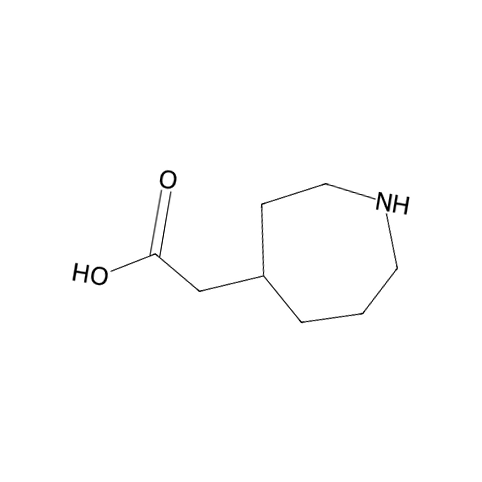 O=C(O)CC1CCCNCC1